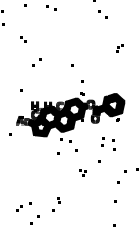 CC(=O)C1CCC2C3CC=C4CC(OC(=O)c5ccccc5)CCC4(C)C3CCC12C